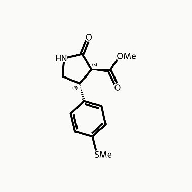 COC(=O)[C@@H]1C(=O)NC[C@H]1c1ccc(SC)cc1